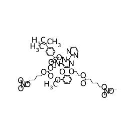 COc1ccccc1Oc1c(OCCOC(=O)CCCCO[N+](=O)[O-])nc(-c2ncccn2)nc1N(COC(=O)OCCCCO[N+](=O)[O-])S(=O)(=O)c1ccc(C(C)(C)C)cc1